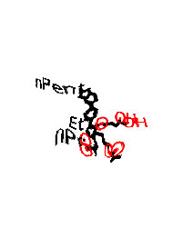 C=C(C)C(=O)OCCCc1c(C=C(C)C(=O)OCCC)ccc(-c2ccc(-c3ccc4c(c3)CC(CCCCC)C4)cc2CC)c1OCCCC(O)CO